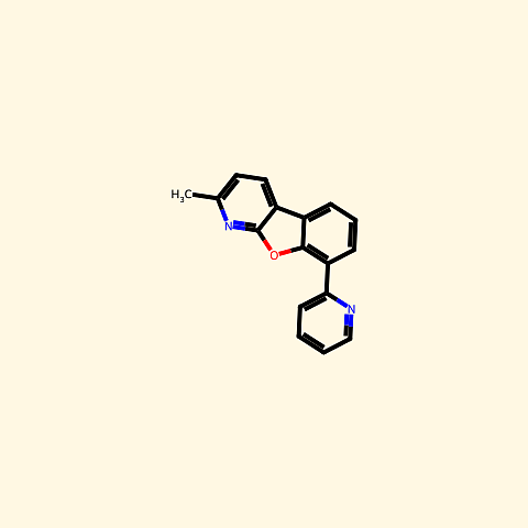 Cc1ccc2c(n1)oc1c(-c3ccccn3)cccc12